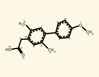 COc1ccc(-c2cc(C)c(CC(=O)O)cc2C)cc1